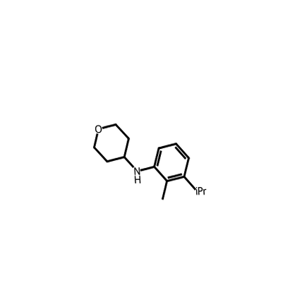 Cc1c(NC2CCOCC2)cccc1C(C)C